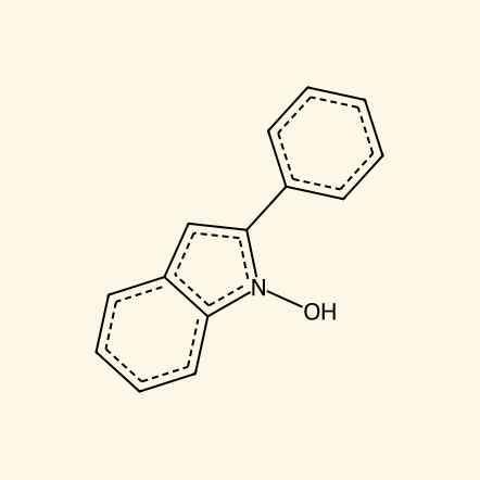 On1c(-c2ccccc2)cc2ccccc21